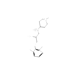 Cc1c[c]cc(C)c1OCC(O)CNC1CCN(C)CC1